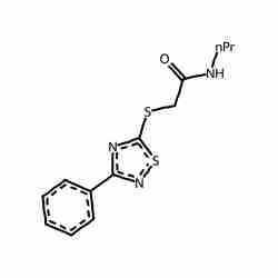 CCCNC(=O)CSc1nc(-c2ccccc2)ns1